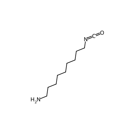 NCCCCCCCCCN=C=O